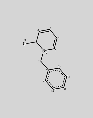 ClC1C=CC=CN1Cc1ccccc1